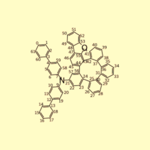 c1ccc(-c2ccc(N(c3ccc(-c4ccccc4)cc3)c3ccc4c5ccccc5c5ccccc5c5ccccc5c5c(ccc6c7ccccc7oc65)c4c3)cc2)cc1